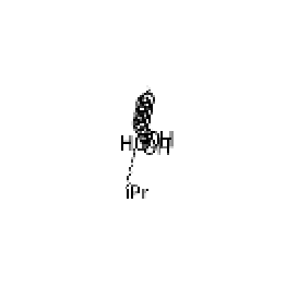 CC=COOOOOOOCCCCCCCCCCCCCC(C)C.O=P(O)(O)O